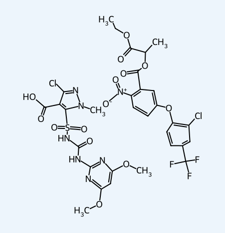 CCOC(=O)C(C)OC(=O)c1cc(Oc2ccc(C(F)(F)F)cc2Cl)ccc1[N+](=O)[O-].COc1cc(OC)nc(NC(=O)NS(=O)(=O)c2c(C(=O)O)c(Cl)nn2C)n1